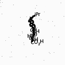 CC(C)CCC[C@@H](C)[C@H]1CCC2C3CC=C4CC(OC(=O)NCC(=O)NCC(=O)NCC(=O)O)CC[C@]4(C)C3CC[C@@]21C